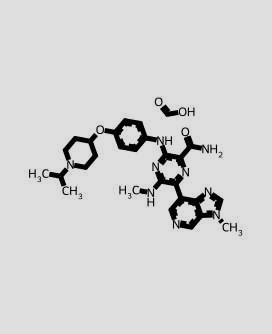 CNc1nc(Nc2ccc(OC3CCN(C(C)C)CC3)cc2)c(C(N)=O)nc1-c1cncc2c1ncn2C.O=CO